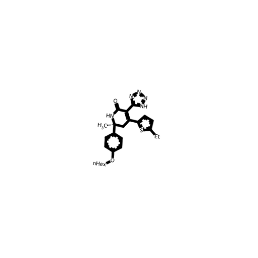 CCCCCCOc1ccc([C@]2(C)CC(c3ccc(CC)s3)=C(c3nnn[nH]3)C(=O)N2)cc1